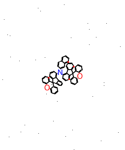 c1ccc2c(c1)Oc1ccccc1C21c2ccccc2-c2c(N(c3ccc4ccccc4c3)c3cccc4c3-c3ccccc3C43c4ccccc4Oc4ccccc43)cccc21